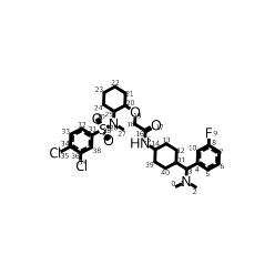 CN(C)C(c1cccc(F)c1)C1CCC(NC(=O)COC2CCCCC2N(C)S(=O)(=O)c2ccc(Cl)c(Cl)c2)CC1